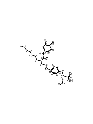 CCCCSCCN(CCOc1ccc(CC(OCC)C(=O)O)cc1)C(=O)Nc1ccc(F)c(F)c1